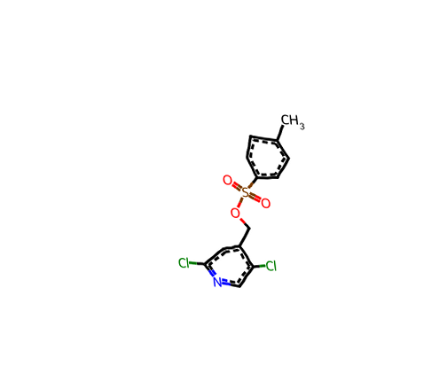 Cc1ccc(S(=O)(=O)OCc2cc(Cl)ncc2Cl)cc1